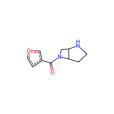 O=C(c1ccoc1)N1CC2NCCC21